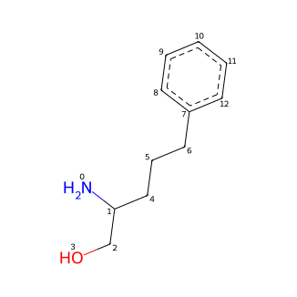 NC(CO)CCCc1ccccc1